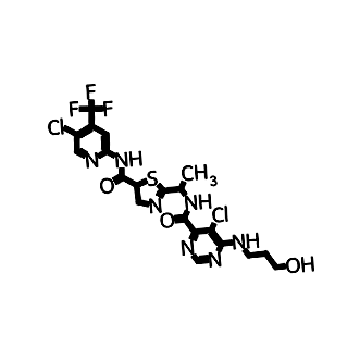 CC(NC(=O)c1ncnc(NCCCO)c1Cl)C1=NCC(C(=O)Nc2cc(C(F)(F)F)c(Cl)cn2)S1